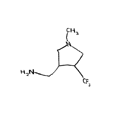 CN1CC(CN)C(C(F)(F)F)C1